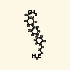 CCCCc1ccc(-c2ccc(C3CCC(CC)CC3)cc2)cc1